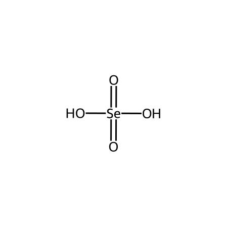 O=[Se](=O)(O)O